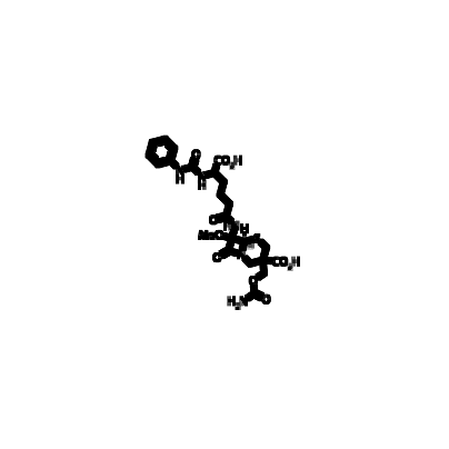 COC1(NC(=O)CCCC(NC(=O)Nc2ccccc2)C(=O)O)C(=O)N2CC(COC(N)=O)(C(=O)O)CS[C@@H]21